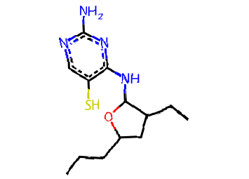 CCCC1CC(CC)C(Nc2nc(N)ncc2S)O1